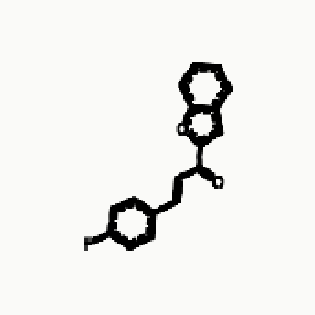 O=C(/C=C/c1ccc(F)cc1)c1cc2ccccc2o1